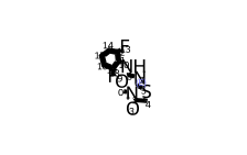 CN1C(=O)CS/C1=N/C(=O)Nc1c(F)cccc1F